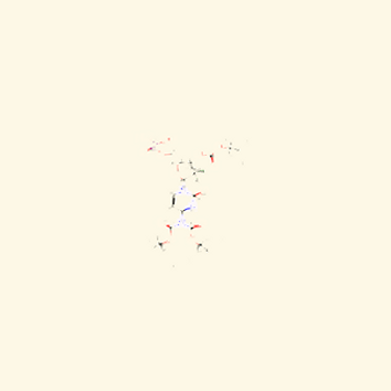 CC(C)(C)OC(=O)O[C@H]1[C@@H](COP(=O)(O)O)O[C@@H](n2ccc(N(C(=O)OC(C)(C)C)C(=O)OC(C)(C)C)nc2=O)C1(F)F